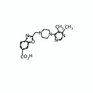 Cc1ncnc(N2CCN(Cc3nc4ccc(C(=O)O)cc4o3)CC2)c1C